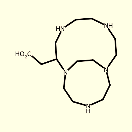 O=C(O)CC1CNCCNCCN2CCNCCN1CC2